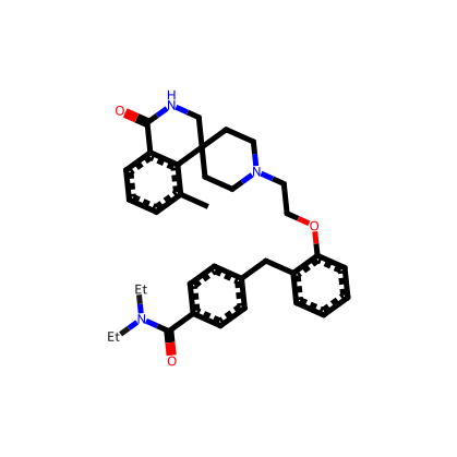 CCN(CC)C(=O)c1ccc(Cc2ccccc2OCCN2CCC3(CC2)CNC(=O)c2cccc(C)c23)cc1